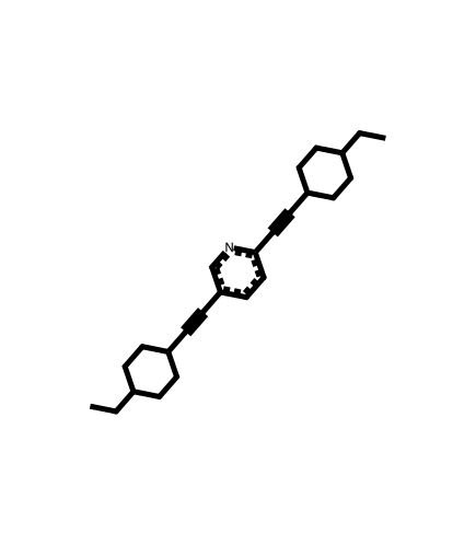 CCC1CCC(C#Cc2ccc(C#CC3CCC(CC)CC3)nc2)CC1